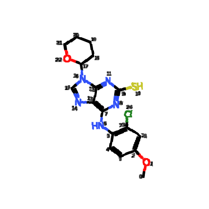 COc1ccc(Nc2nc(S)nc3c2ncn3C2CCCCO2)c(Cl)c1